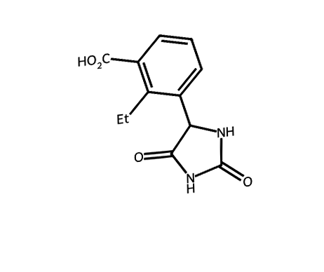 CCc1c(C(=O)O)cccc1C1NC(=O)NC1=O